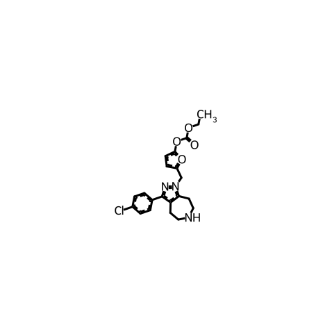 CCOC(=O)Oc1ccc(Cn2nc(-c3ccc(Cl)cc3)c3c2CCNCC3)o1